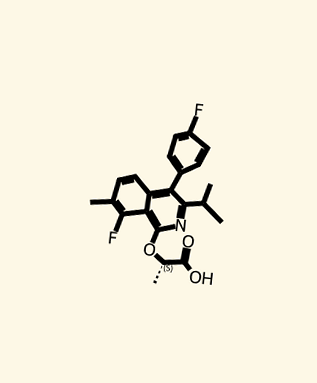 Cc1ccc2c(-c3ccc(F)cc3)c(C(C)C)nc(O[C@@H](C)C(=O)O)c2c1F